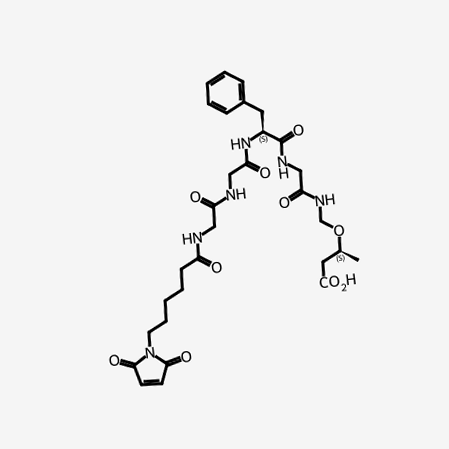 C[C@@H](CC(=O)O)OCNC(=O)CNC(=O)[C@H](Cc1ccccc1)NC(=O)CNC(=O)CNC(=O)CCCCCN1C(=O)C=CC1=O